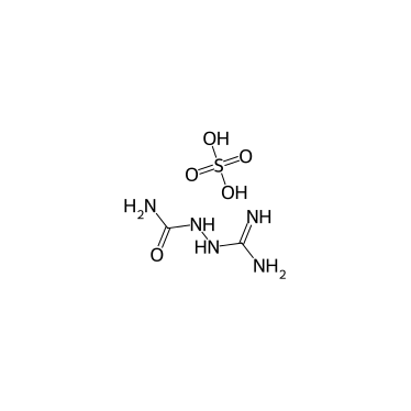 N=C(N)NNC(N)=O.O=S(=O)(O)O